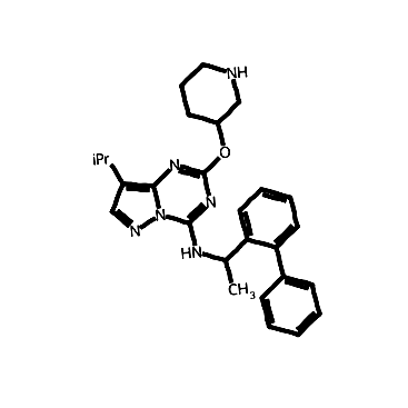 CC(C)c1cnn2c(NC(C)c3ccccc3-c3ccccc3)nc(OC3CCCNC3)nc12